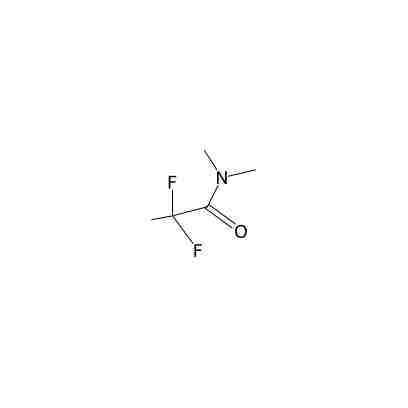 CN(C)C(=O)C(C)(F)F